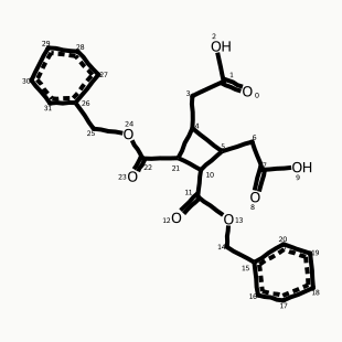 O=C(O)CC1C(CC(=O)O)C(C(=O)OCc2ccccc2)C1C(=O)OCc1ccccc1